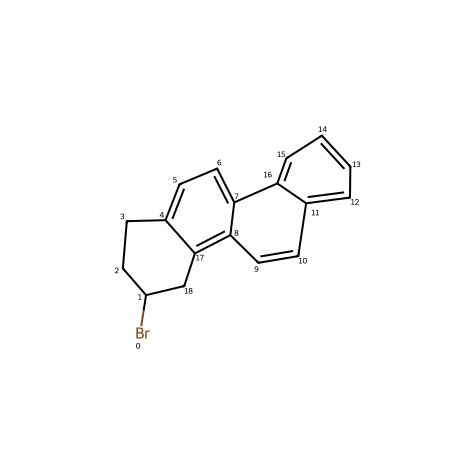 BrC1CCc2ccc3c(ccc4ccccc43)c2C1